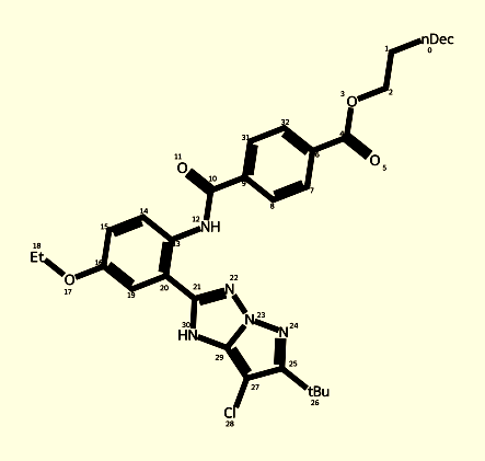 CCCCCCCCCCCCOC(=O)c1ccc(C(=O)Nc2ccc(OCC)cc2-c2nn3nc(C(C)(C)C)c(Cl)c3[nH]2)cc1